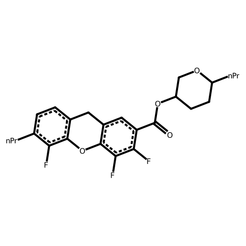 CCCc1ccc2c(c1F)Oc1c(cc(C(=O)OC3CCC(CCC)OC3)c(F)c1F)C2